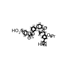 CC(C)Oc1cc(-c2cn[nH]c2)ccc1CN(C(=O)[C@@H]1CCCN(c2cccc(OC(C)(C)C(=O)N3CCN(C(=O)O)CC3)c2)C1)C1CC1